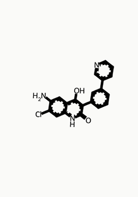 Nc1cc2c(O)c(-c3cccc(-c4cccnc4)c3)c(=O)[nH]c2cc1Cl